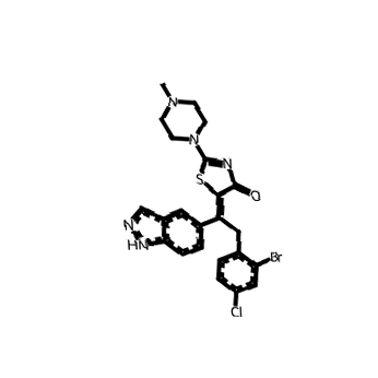 CN1CCN(C2=NC(=O)C(=C(Cc3ccc(Cl)cc3Br)c3ccc4[nH]ncc4c3)S2)CC1